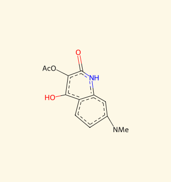 CNc1ccc2c(O)c(OC(C)=O)c(=O)[nH]c2c1